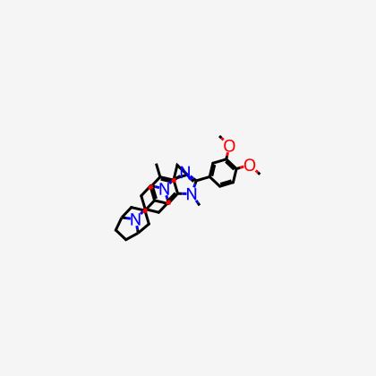 COc1ccc(-c2nc3c(C)cc(C4CC5CCC(C4)N5C4CCN(C5CC5)CC4)cc3n2C)cc1OC